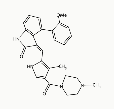 COc1ccccc1-c1cccc2c1/C(=C/c1[nH]cc(C(=O)N3CCN(C)CC3)c1C)C(=O)N2